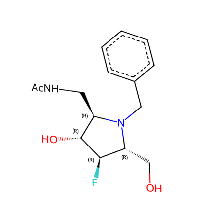 CC(=O)NC[C@@H]1[C@@H](O)[C@H](F)[C@@H](CO)N1Cc1ccccc1